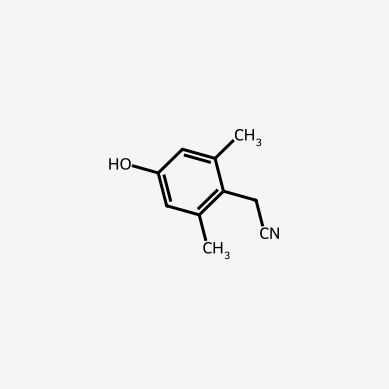 Cc1cc(O)cc(C)c1CC#N